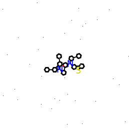 c1ccc(-c2cccc(N(c3cccc(-c4ccccc4-n4c5ccc(-c6ccccc6)cc5c5cc(-c6ccccc6)ccc54)c3)c3ccc4sc5ccccc5c4c3)c2)cc1